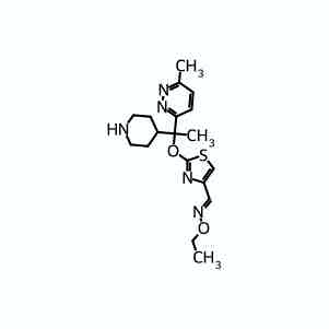 CCON=Cc1csc(OC(C)(c2ccc(C)nn2)C2CCNCC2)n1